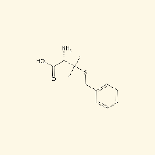 CC(C)(SCc1ccccc1)[C@@H](N)C(=O)O